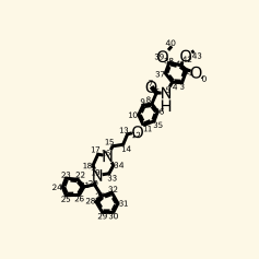 COc1cc(NC(=O)c2ccc(OCCCN3CCN(C(c4ccccc4)c4ccccc4)CC3)cc2)cc(OC)c1OC